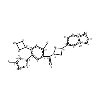 Cc1nnc(-c2cc(C(=O)N3CC(c4ccc5nccn5c4)C3)c(C)cc2C2CCC2)[nH]1